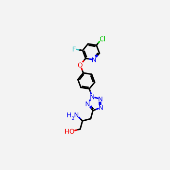 NC(CO)Cc1nnn(-c2ccc(Oc3ncc(Cl)cc3F)cc2)n1